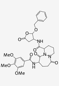 COc1cc(C(=O)NC2CCC(=O)N3CCCC(C(=O)NC4CC(=O)OC4OCc4ccccc4)N3C2=O)cc(OC)c1OC